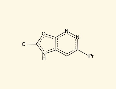 CC(C)c1cc2[nH]c(=O)oc2nn1